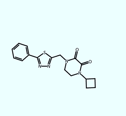 O=C1C(=O)N(C2CCC2)CCN1Cc1nnc(-c2ccccc2)s1